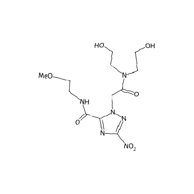 COCCNC(=O)c1nc([N+](=O)[O-])nn1CC(=O)N(CCO)CCO